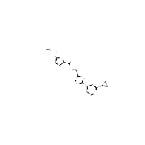 CCS(=O)(=O)c1ccc(C(=O)N[C@@H](C)c2nc(-c3ccnc(C4CC4)c3)no2)s1